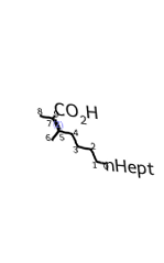 CCCCCCCCCCC/C(C)=C(/C)C(=O)O